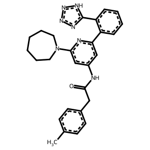 Cc1ccc(CC(=O)Nc2cc(-c3ccccc3-c3nnn[nH]3)nc(N3CCCCCC3)c2)cc1